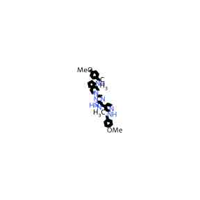 COc1ccc(CNc2nccc(-c3n[nH]c4nc(N5CCC6(CCC[C@H]6NC(C)c6ccc(OC)cc6)CC5)cnc34)c2C)cc1